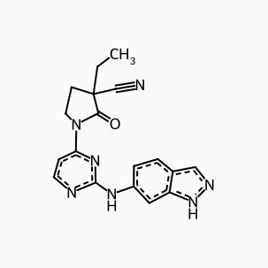 CCC1(C#N)CCN(c2ccnc(Nc3ccc4cn[nH]c4c3)n2)C1=O